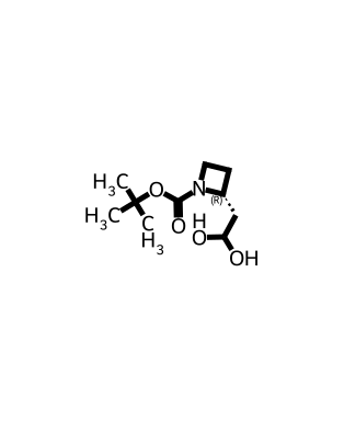 CC(C)(C)OC(=O)N1CC[C@@H]1CC(O)O